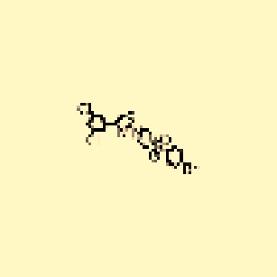 O=S(=O)(c1ccc(Br)cc1)N1CCN(c2nc(-c3cc(Cl)cc(Cl)c3)cs2)CC1